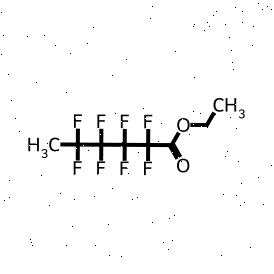 CCOC(=O)C(F)(F)C(F)(F)C(F)(F)C(C)(F)F